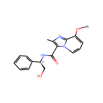 CCCOc1cccn2c(C(=O)N[C@@H](CO)c3ccccc3)c(C)nc12